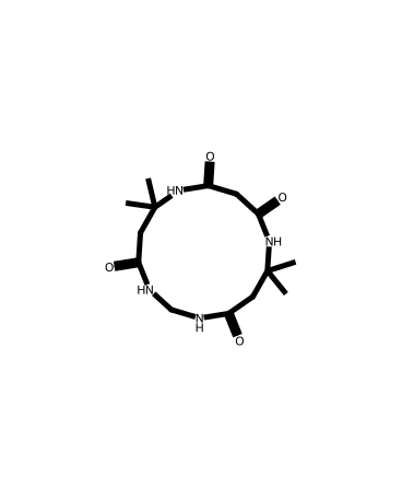 CC1(C)CC(=O)NCNC(=O)CC(C)(C)NC(=O)CC(=O)N1